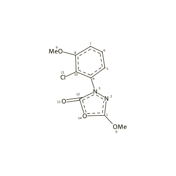 COc1nn(-c2cccc(OC)c2Cl)c(=O)o1